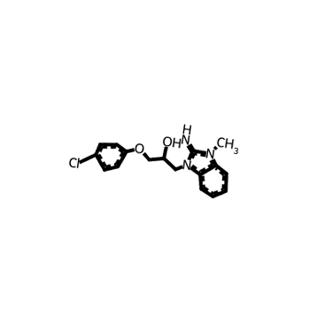 Cn1c(=N)n(CC(O)COc2ccc(Cl)cc2)c2ccccc21